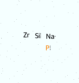 [Na].[P].[Si].[Zr]